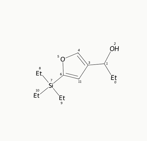 CCC(O)c1coc([Si](CC)(CC)CC)c1